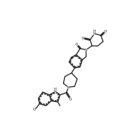 Cc1c(C(=O)N2CCC(c3ccc4c(c3)CN(C3CCC(=O)NC3=O)C4=O)CC2)[nH]c2ccc(Cl)cc12